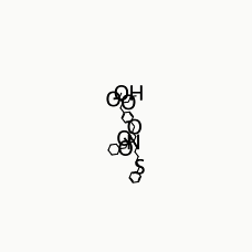 CCOC(Cc1ccc(OCCN(CCCCSc2ccccc2)C(=O)OC2CCCCC2)cc1)C(=O)O